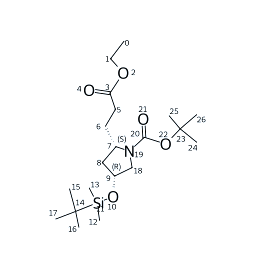 CCOC(=O)CC[C@H]1C[C@@H](O[Si](C)(C)C(C)(C)C)CN1C(=O)OC(C)(C)C